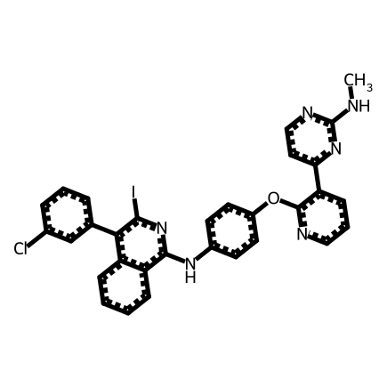 CNc1nccc(-c2cccnc2Oc2ccc(Nc3nc(I)c(-c4cccc(Cl)c4)c4ccccc34)cc2)n1